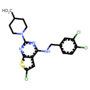 O=C(O)C1CCN(c2nc(NCc3ccc(Cl)c(Cl)c3)c3cc(Cl)sc3n2)CC1